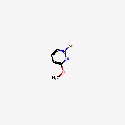 COC1=CC=CN(S)N1